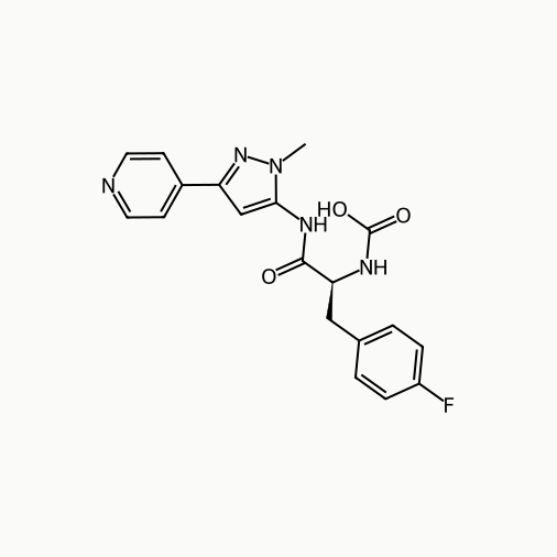 Cn1nc(-c2ccncc2)cc1NC(=O)[C@H](Cc1ccc(F)cc1)NC(=O)O